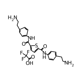 NCCc1ccc(NC(=O)c2ccc(C(=O)Nc3ccc(CCN)cc3)s2)cc1.O=C(O)C(F)(F)F